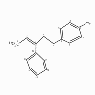 O=C(O)C=C(CCc1ccc(Cl)cc1)c1ccccc1